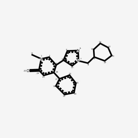 Cn1cc(-c2cnn(CC3CCCCC3)c2)c(-c2ccccc2)cc1=O